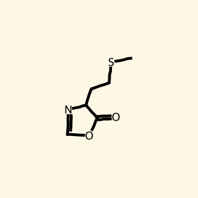 CSCCC1N=COC1=O